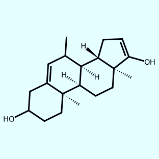 CC1C=C2CC(O)CC[C@]2(C)[C@@H]2CC[C@]3(C)C(O)=CC[C@H]3[C@H]12